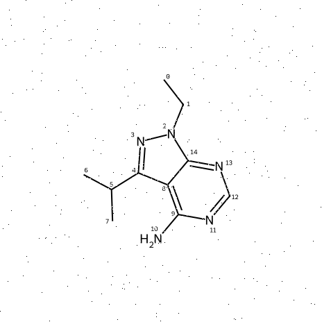 CCn1nc(C(C)C)c2c(N)ncnc21